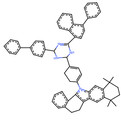 CC1(C)CCC(C)(C)c2cc3c(cc21)c1c(n3C2=CC=C(C3NC(c4ccc(-c5ccccc5)c5ccccc45)=NC(c4ccc(-c5ccccc5)cc4)N3)CC2)-c2ccccc2CC1